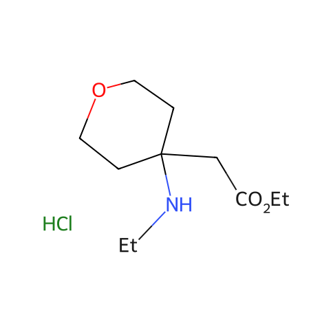 CCNC1(CC(=O)OCC)CCOCC1.Cl